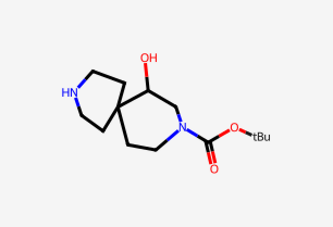 CC(C)(C)OC(=O)N1CCC2(CCNCC2)C(O)C1